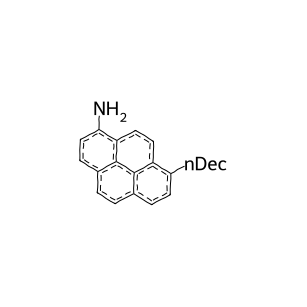 CCCCCCCCCCc1ccc2ccc3ccc(N)c4ccc1c2c34